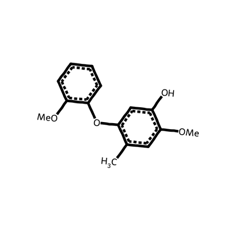 COc1cc(C)c(Oc2ccccc2OC)cc1O